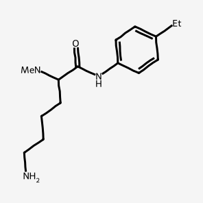 CCc1ccc(NC(=O)C(CCCCN)NC)cc1